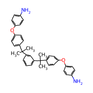 CC(C)(c1ccc(Oc2ccc(N)cc2)cc1)c1cccc(C(C)(C)c2ccc(Oc3ccc(N)cc3)cc2)c1